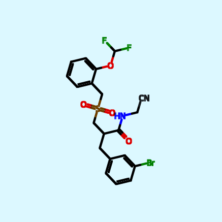 N#CCNC(=O)C(Cc1cccc(Br)c1)CS(=O)(=O)Cc1ccccc1OC(F)F